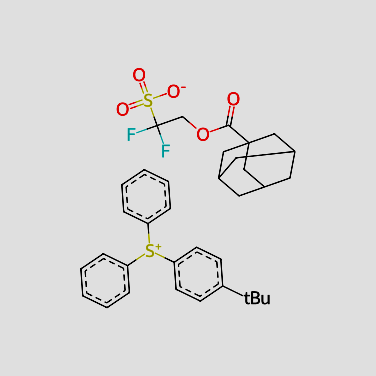 CC(C)(C)c1ccc([S+](c2ccccc2)c2ccccc2)cc1.O=C(OCC(F)(F)S(=O)(=O)[O-])C12CC3CC(CC(C3)C1)C2